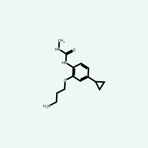 CNC(=O)Nc1ccc(C2CC2)cc1OCCCN